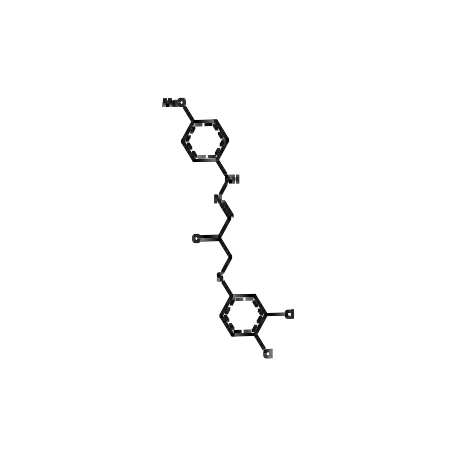 COc1ccc(NN=CC(=O)CSc2ccc(Cl)c(Cl)c2)cc1